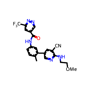 COCCNc1ncc(-c2cc(NC(=O)c3cnnc(C(F)(F)F)c3)ccc2C)cc1C#N